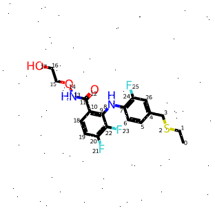 CCSCc1ccc(Nc2c(C(=O)NOCCO)ccc(F)c2F)c(F)c1